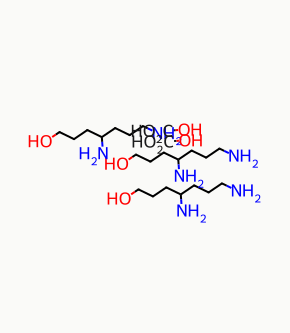 NCCCC(N)CCCO.NCCCC(N)CCCO.NCCCC(N)CCCO.O=C(O)O.O=C(O)O